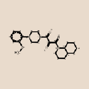 COc1ccccc1N1CCN(C(=O)C(=O)C(=O)N2CCCC3CCCCC32)CC1